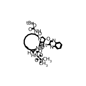 CCc1nc2ccccc2nc1O[C@@H]1C[C@H]2C(=O)N[C@]3(C(=O)NS(=O)(=O)N(C)C)C[C@H]3/C=C\CCCCC[C@H](NC(=O)OC(C)(C)C)C(=O)N2C1